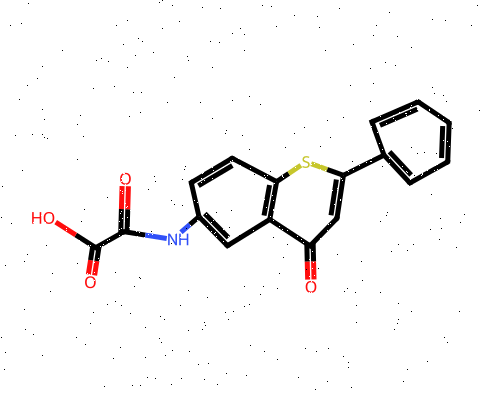 O=C(O)C(=O)Nc1ccc2sc(-c3ccccc3)cc(=O)c2c1